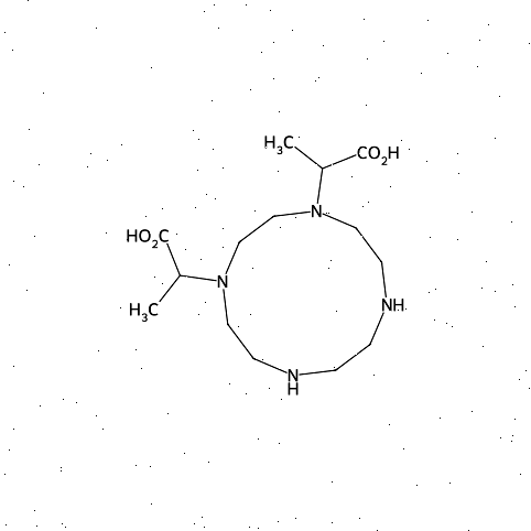 CC(C(=O)O)N1CCNCCNCCN(C(C)C(=O)O)CC1